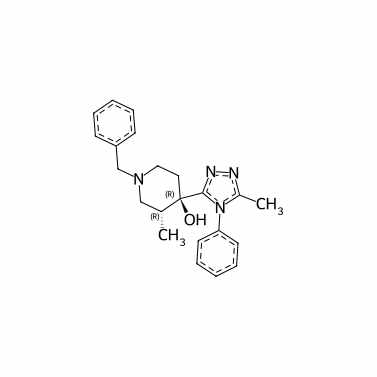 Cc1nnc([C@@]2(O)CCN(Cc3ccccc3)C[C@H]2C)n1-c1ccccc1